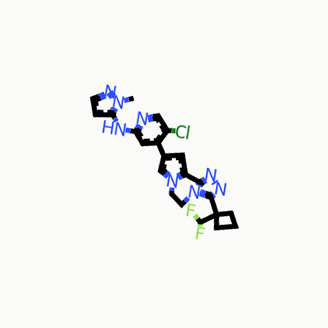 Cn1nccc1Nc1cc(-c2cc3n(c2)CCn2c-3nnc2C2(C(F)F)CCC2)c(Cl)cn1